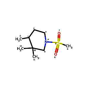 CC1CCN(S(C)(=O)=O)CC1(C)C